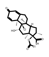 CCC(=O)O[C@]1(C(=O)S)[C@@H](C)C[C@H]2[C@@H]3CCC4=CC(=O)C=C[C@]4(C)[C@@]3(Cl)[C@@H](O)C[C@@]21C